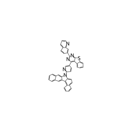 c1ccc2cc3c(cc2c1)c1c2ccccc2ccc1n3-c1ccc(-c2nc(-c3ccc4cccnc4c3)nc3sc4ccccc4c23)cn1